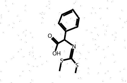 CSC(=NC(C(=O)O)c1ccccc1)SC